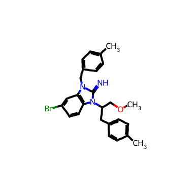 COCC(Cc1ccc(C)cc1)n1c(=N)n(Cc2ccc(C)cc2)c2cc(Br)ccc21